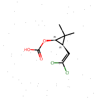 CC1(C)[C@H](OC(=O)O)[C@@H]1C=C(Cl)Cl